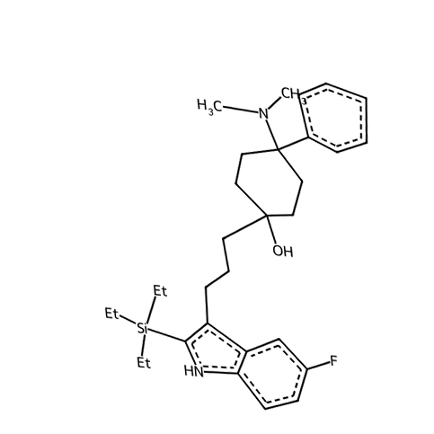 CC[Si](CC)(CC)c1[nH]c2ccc(F)cc2c1CCCC1(O)CCC(c2ccccc2)(N(C)C)CC1